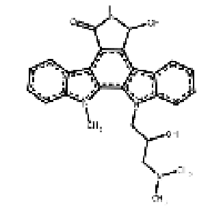 CN(C)CC(O)Cn1c2ccccc2c2c3c(c4c5ccccc5n(C)c4c21)C(=O)NC3O